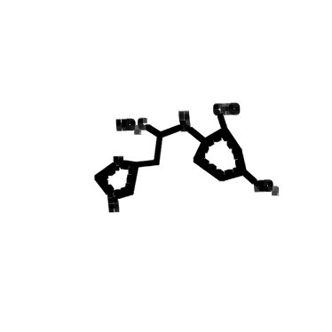 O=Cc1cc([N+](=O)[O-])ccc1NC(Cc1c[nH]cn1)C(=O)O